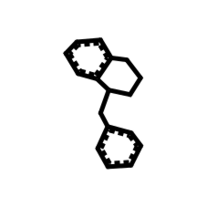 c1ccc(CC2CCCc3ccccc32)cc1